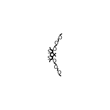 CCOCCOCCOc1c(C)sc2c1C(C)(C)c1c-2sc(C)c1OCCOCCOCC